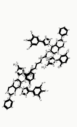 Cc1nc([C@H]2OC3CO[C@H](c4ccccc4)OC3[C@@H](n3cc(-c4cc(F)c(F)c(F)c4)nn3)[C@@H]2OC(=O)NCCCCNC(=O)O[C@@H]2[C@@H](c3nc(C)nn3-c3cc(Cl)ccc3Cl)OC3CO[C@H](c4ccccc4)OC3[C@H]2n2cc(-c3cc(F)c(F)c(F)c3)nn2)n(-c2cc(Cl)ccc2Cl)n1